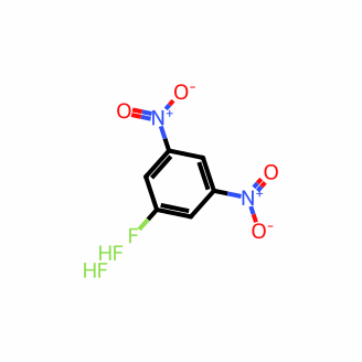 F.F.O=[N+]([O-])c1cc(F)cc([N+](=O)[O-])c1